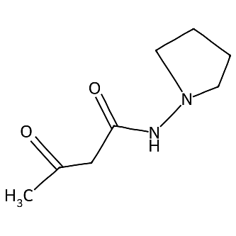 CC(=O)CC(=O)NN1CCCC1